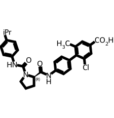 Cc1cc(C(=O)O)cc(Cl)c1-c1ccc(NC(=O)[C@H]2CCCN2C(=O)Nc2ccc(C(C)C)cc2)cc1